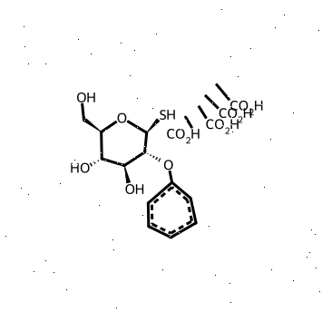 CC(=O)O.CC(=O)O.CC(=O)O.CC(=O)O.OC[C@H]1O[C@@H](S)[C@H](Oc2ccccc2)[C@@H](O)[C@@H]1O